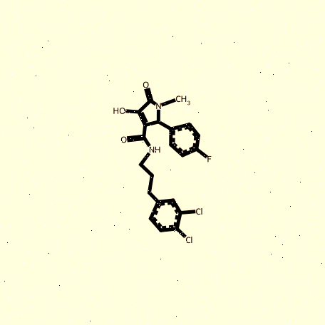 CN1C(=O)C(O)=C(C(=O)NCCCc2ccc(Cl)c(Cl)c2)C1c1ccc(F)cc1